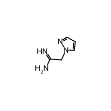 N=C(N)Cn1cccn1